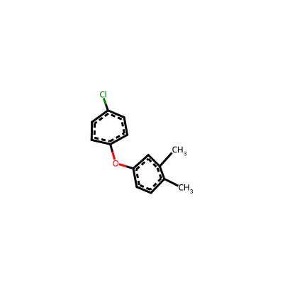 Cc1ccc(Oc2ccc(Cl)cc2)cc1C